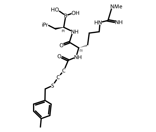 CNC(=N)NCCC[C@H](NC(=O)CCSCc1ccc(C)cc1)C(=O)N[C@@H](CC(C)C)B(O)O